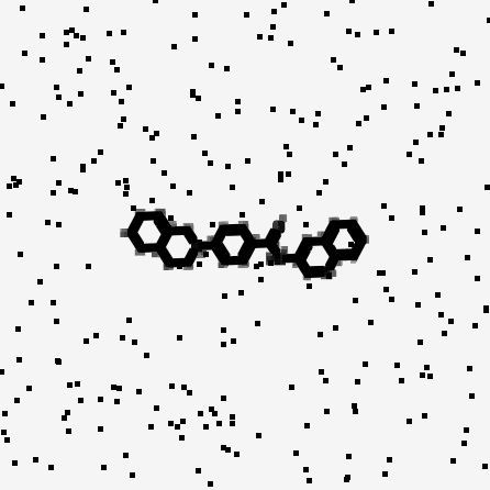 O=C(Nc1cnc2ccccc2c1)c1ccc(N2CCC3CCCC=C3C2)cc1